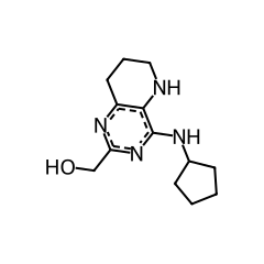 OCc1nc2c(c(NC3CCCC3)n1)NCCC2